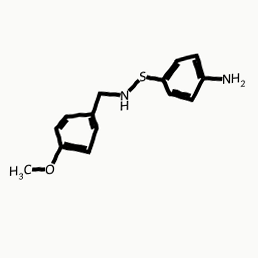 COc1ccc(CNSc2ccc(N)cc2)cc1